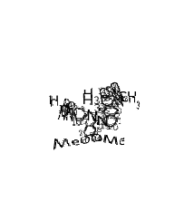 COc1ccc(C(=Nc2ccc(NS(C)(=O)=O)cc2)N2CCCc3cc(C4=NN(C)C(=O)SC4(C)C)ccc32)cc1OC